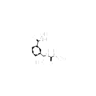 C[C@@H](NC(=O)NC(C)(C)C)c1cccc(C(=O)NO)c1